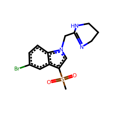 CS(=O)(=O)c1cn(CC2=NCCCN2)c2ccc(Br)cc12